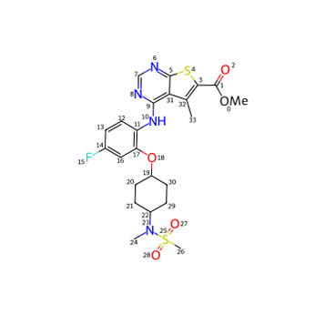 COC(=O)c1sc2ncnc(Nc3ccc(F)cc3OC3CCC(N(C)S(C)(=O)=O)CC3)c2c1C